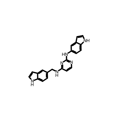 c1cc(NCc2ccc3[nH]ccc3c2)nc(Nc2ccc3[nH]ccc3c2)n1